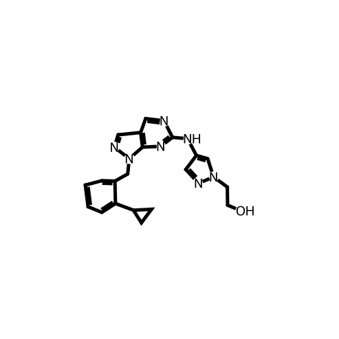 OCCn1cc(Nc2ncc3cnn(Cc4ccccc4C4CC4)c3n2)cn1